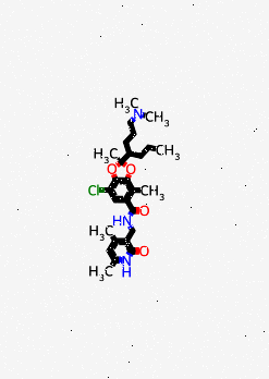 CCCC(CCCN(C)C)[C@@]1(C)Oc2c(Cl)cc(C(=O)NCc3c(C)cc(C)[nH]c3=O)c(C)c2O1